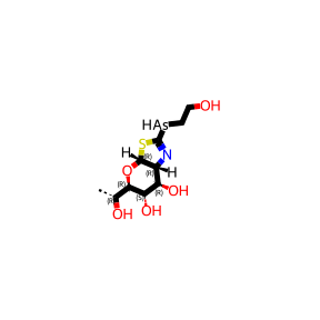 C[C@@H](O)[C@H]1O[C@@H]2SC([AsH]CCO)=N[C@@H]2[C@@H](O)[C@@H]1O